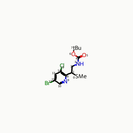 CSC(CNC(=O)OC(C)(C)C)c1ncc(Br)cc1Cl